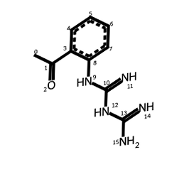 CC(=O)c1ccccc1NC(=N)NC(=N)N